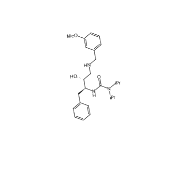 COc1cccc(CNC[C@@H](O)[C@H](Cc2ccccc2)NC(=O)N(C(C)C)C(C)C)c1